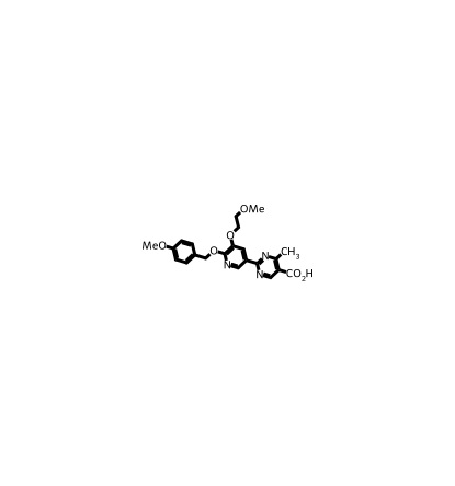 COCCOc1cc(-c2ncc(C(=O)O)c(C)n2)cnc1OCc1ccc(OC)cc1